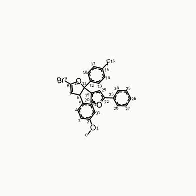 COc1ccc(C2C=C(Br)OC2(c2ccc(F)cc2)c2coc(-c3ccccc3)c2)cc1